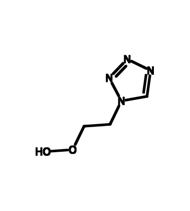 OOCCn1cnnn1